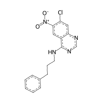 O=[N+]([O-])c1cc2c(NCCCc3ccccc3)ncnc2cc1Cl